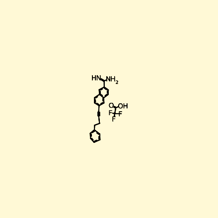 N=C(N)c1ccc2cc(C#CCCc3ccccc3)ccc2c1.O=C(O)C(F)(F)F